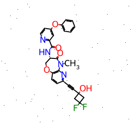 CN1C(=O)[C@@H](NC(=O)c2cc(Oc3ccccc3)ccn2)COc2ccc(C#CC3(O)CC(F)(F)C3)nc21